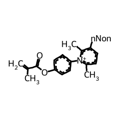 C=C(C)C(=O)Oc1ccc(-[n+]2c(C)ccc(CCCCCCCCC)c2C)cc1